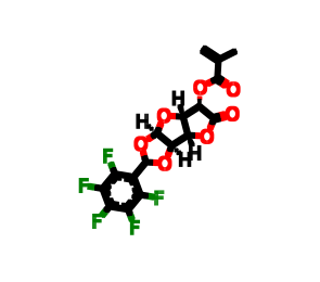 C=C(C)C(=O)O[C@@H]1C(=O)O[C@@H]2[C@H]3OC(c4c(F)c(F)c(F)c(F)c4F)O[C@H]3O[C@@H]21